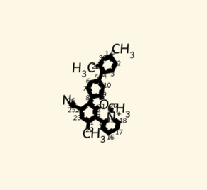 Cc1ccc(-c2ccc3c(c2)oc2c(-c4cccc[n+]4C)c(C)cc(C#N)c23)c(C)c1